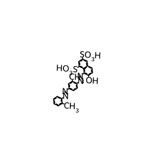 Cc1ccccc1/N=N/c1ccc(/N=N/c2c(O)ccc3cc(S(=O)(=O)O)cc(S(=O)(=O)O)c23)c(C)c1